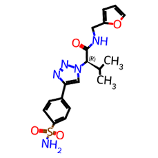 CC(C)[C@H](C(=O)NCc1ccco1)n1cc(-c2ccc(S(N)(=O)=O)cc2)nn1